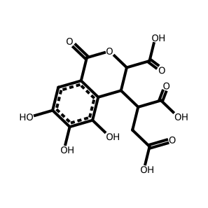 O=C(O)CC(C(=O)O)C1c2c(cc(O)c(O)c2O)C(=O)OC1C(=O)O